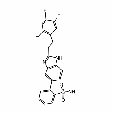 NS(=O)(=O)c1ccccc1-c1ccc2[nH]c(CCc3cc(F)c(F)cc3F)nc2c1